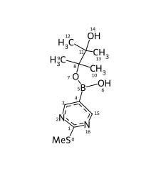 CSc1ncc(B(O)OC(C)(C)C(C)(C)O)cn1